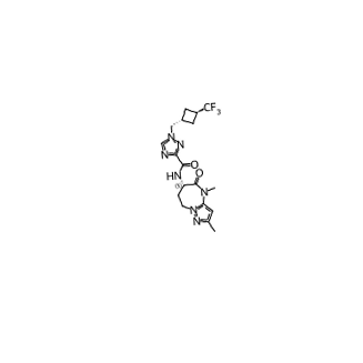 Cc1cc2n(n1)CC[C@H](NC(=O)c1ncn(C[C@H]3C[C@H](C(F)(F)F)C3)n1)C(=O)N2C